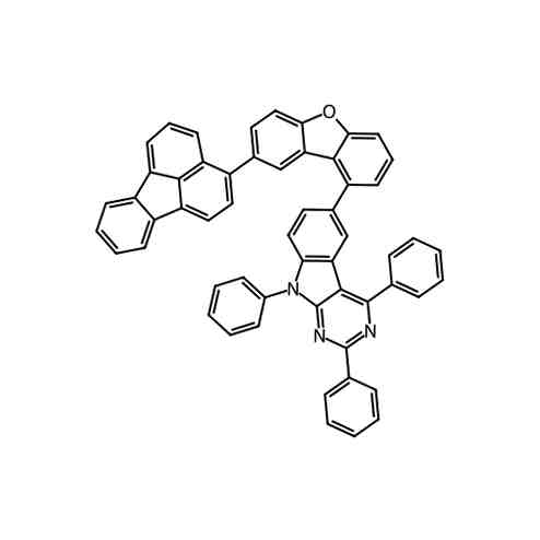 c1ccc(-c2nc(-c3ccccc3)c3c4cc(-c5cccc6oc7ccc(-c8ccc9c%10c(cccc8%10)-c8ccccc8-9)cc7c56)ccc4n(-c4ccccc4)c3n2)cc1